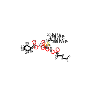 C/C=C\C=C(/C)C(=O)OCOP(=O)(OCOC(=O)c1ccccc1)SCC(CNC)CNC